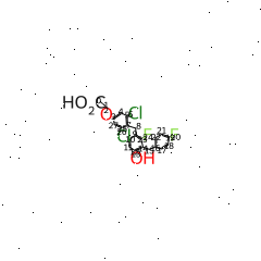 O=C(O)COc1cc(Cl)c(Cc2ccc(O)c(Cc3ccc(F)cc3)c2F)c(Cl)c1